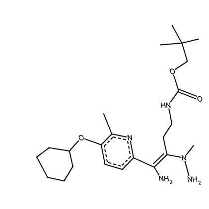 Cc1nc(/C(N)=C(\CCNC(=O)OCC(C)(C)C)N(C)N)ccc1OC1CCCCC1